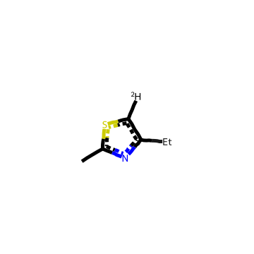 [2H]c1sc(C)nc1CC